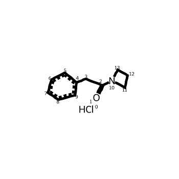 Cl.O=C(Cc1ccccc1)N1CCC1